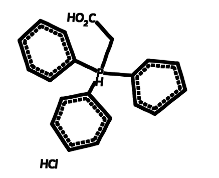 Cl.O=C(O)C[PH](c1ccccc1)(c1ccccc1)c1ccccc1